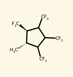 C[C@H]1C(C(F)(F)F)C(C(F)(F)F)C(C(F)(F)F)[C@@H]1C(F)(F)F